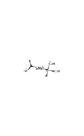 CC(O)C(=O)O.CCCCCCCC[N+](C)(CCCCCCCC)CCCCCCCC